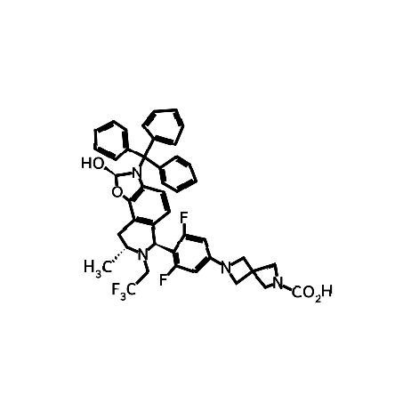 C[C@@H]1Cc2c(ccc3c2O[C@@H](O)N3C(c2ccccc2)(c2ccccc2)c2ccccc2)[C@@H](c2c(F)cc(N3CC4(CN(C(=O)O)C4)C3)cc2F)N1CC(F)(F)F